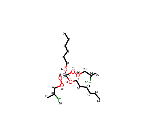 CCCCCCO[Si](OCCCCCC)(OOCC(C)F)OOCC(C)F